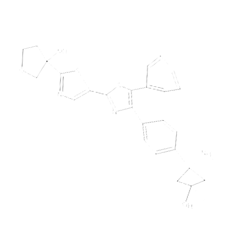 C[C@]1(O)C[C@@](N)(c2ccc(-c3nc(-c4cnc(C5(O)CCOC5)s4)sc3-c3ccccc3)cc2)C1